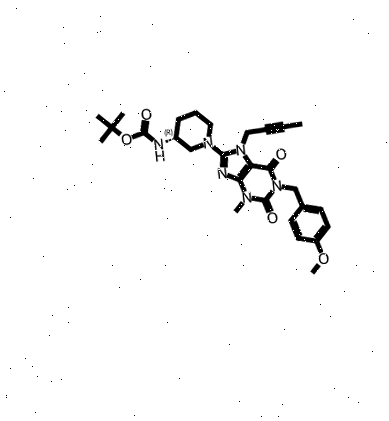 CC#CCn1c(N2CCC[C@@H](NC(=O)OC(C)(C)C)C2)nc2c1c(=O)n(Cc1ccc(OC)cc1)c(=O)n2C